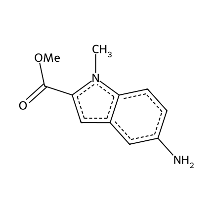 COC(=O)c1cc2cc(N)ccc2n1C